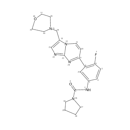 O=C(Nc1ccc(F)c(-c2ccn3c(CN4CCOCC4)cnc3n2)c1)N1CCCC1